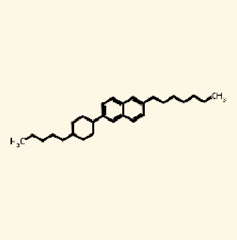 CCCCCCCc1ccc2cc(C3CCC(CCCCC)CC3)ccc2c1